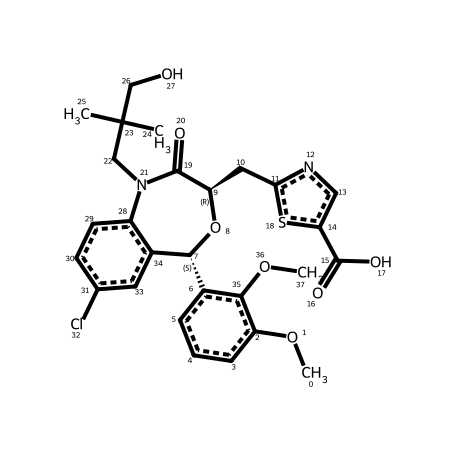 COc1cccc([C@H]2O[C@H](Cc3ncc(C(=O)O)s3)C(=O)N(CC(C)(C)CO)c3ccc(Cl)cc32)c1OC